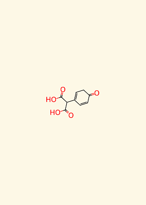 O=C1C=CC(C(C(=O)O)C(=O)O)=CC1